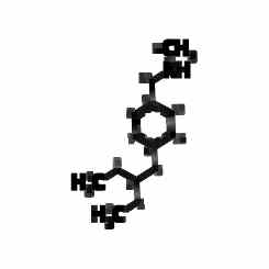 CCC(CC)Cc1ccc(CNC)cc1